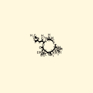 CC[Si](CC)(CC)O[C@H]1CC(=O)OC(/C(C)=C/c2csc(C)n2)C[C@@H]2N[C@@H]2CCCC(C)[C@H](O[Si](CC)(CC)CC)[C@@H](C)C(=O)C1(C)C